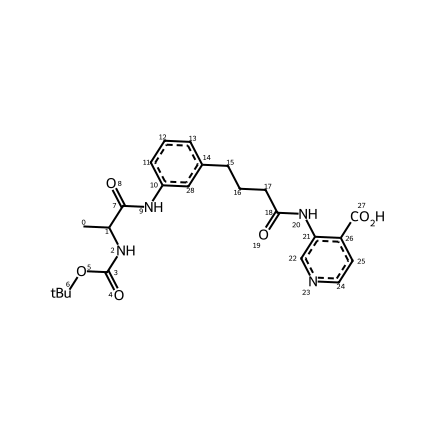 CC(NC(=O)OC(C)(C)C)C(=O)Nc1cccc(CCCC(=O)Nc2cnccc2C(=O)O)c1